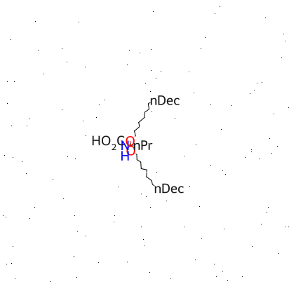 CCCCCCCCCCCCCCCCCCOC(CCC)(NC(=O)O)OCCCCCCCCCCCCCCCCCC